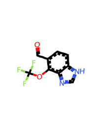 O=Cc1ccc2[nH]cnc2c1OC(F)(F)F